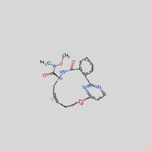 CON(C)C(=O)[C@@H]1C/C=C\CCOc2ccnc(n2)-c2ccccc2C(=O)N1